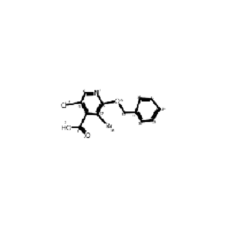 O=C(O)c1c(Cl)cnc(OCc2ccccc2)c1Br